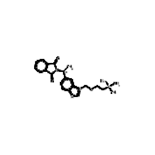 C[C@H](c1ccc2ncn(COCC[Si](C)(C)C)c2c1)N1C(=O)c2ccccc2C1=O